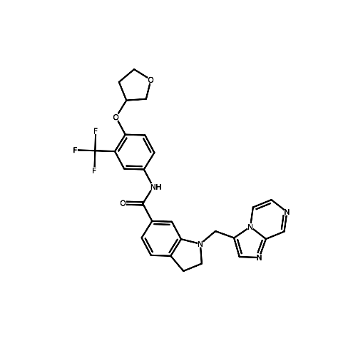 O=C(Nc1ccc(OC2CCOC2)c(C(F)(F)F)c1)c1ccc2c(c1)N(Cc1cnc3cnccn13)CC2